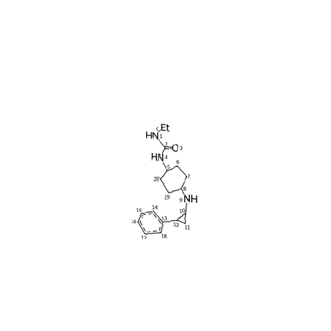 CCNC(=O)NC1CCC(NC2CC2c2ccccc2)CC1